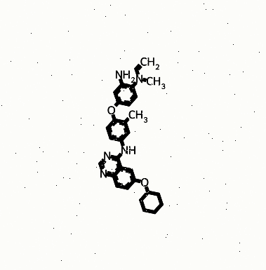 C=CN(C)c1ccc(Oc2ccc(Nc3ncnc4ccc(OC5CCCCC5)cc34)cc2C)cc1N